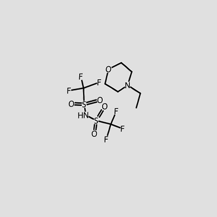 CCN1CCOCC1.O=S(=O)(NS(=O)(=O)C(F)(F)F)C(F)(F)F